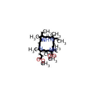 C=Cc1c(C)c2cc3nc(c(C)c4[nH]c(cc5nc(cc1[nH]2)C(C)=C5CC)c(C)c4C(=O)OC)[C@@H](CCC(=O)OC)[C@@H]3C